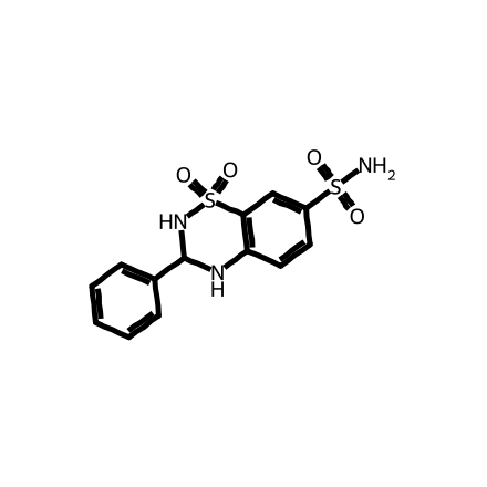 NS(=O)(=O)c1ccc2c(c1)S(=O)(=O)NC(c1ccccc1)N2